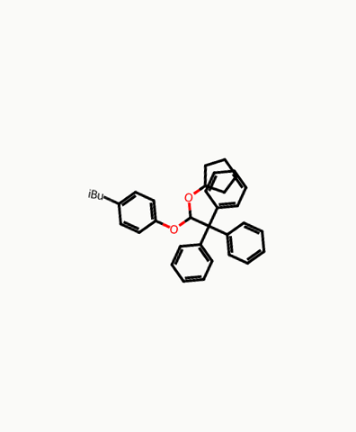 CCC(C)c1ccc(OC(OC2CCCC2)C(c2ccccc2)(c2ccccc2)c2ccccc2)cc1